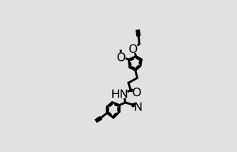 C#CCOc1ccc(CCC(=O)NC(C#N)c2ccc(C#C)cc2)cc1OC